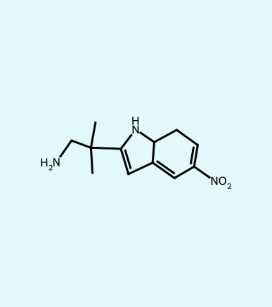 CC(C)(CN)C1=CC2=CC([N+](=O)[O-])=CCC2N1